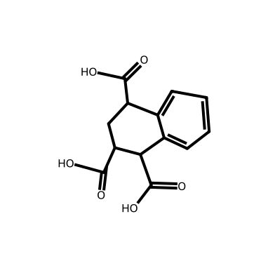 O=C(O)C1CC(C(=O)O)C(C(=O)O)c2ccccc21